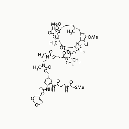 COc1cc2cc(c1Cl)N(C)C(=O)C[C@H](OC(=O)[C@H](C)N(C)C(=O)CCSC(=O)N(C)CCN(C)C(=O)OCc1ccc(NC(=O)OC3/C=C/COCOC3)c(NC(=O)CCNC(=O)CSC)c1)[C@]1(C)OC1[C@H](C)[C@@H]1C[C@@](O)(NC(=O)O1)[C@H](OC)/C=C/C=C(\C)C2